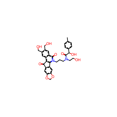 Cc1ccc(C(O)C(=O)N(CCO)CCCn2c3c(c4cc(CO)c(CO)cc4c2=O)C(=O)c2cc4c(cc2-3)OCO4)cc1